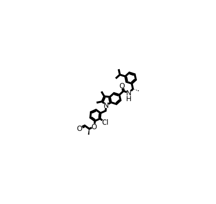 Cc1c(C)n(Cc2cccc(O[C@@H](C)C=O)c2Cl)c2ccc(C(=O)N[C@@H](C)c3cccc(C(C)C)c3)cc12